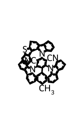 Cc1ccc(-c2c(-n3c4ccccc4c4ccccc43)c(C#N)c(-n3c4ccccc4c4ccc5sc6ccccc6c5c43)c(C#N)c2-n2c3ccccc3c3ccccc32)cc1